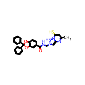 CC1=NC2=CN(CNC(=O)c3ccc4c(c3)OC(c3ccccc3)(c3ccccc3)O4)NN2C(S)=C1